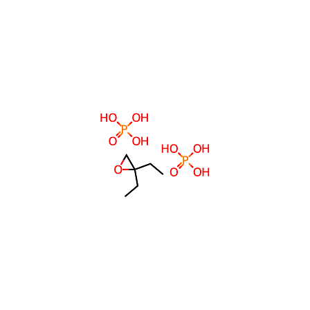 CCC1(CC)CO1.O=P(O)(O)O.O=P(O)(O)O